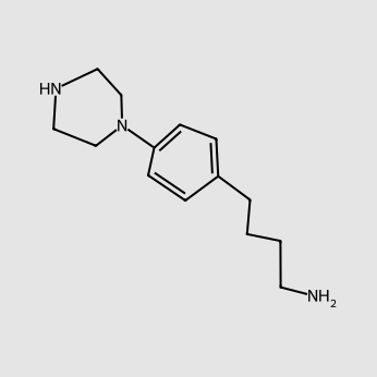 NCCCCc1ccc(N2CCNCC2)cc1